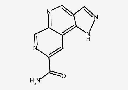 NC(=O)c1cc2c(cn1)ncc1cn[nH]c12